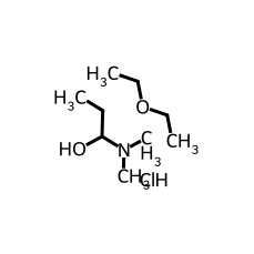 CCC(O)N(C)C.CCOCC.Cl